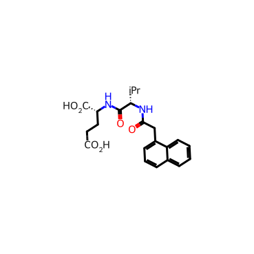 CC(C)[C@H](NC(=O)Cc1cccc2ccccc12)C(=O)N[C@H](CCC(=O)O)C(=O)O